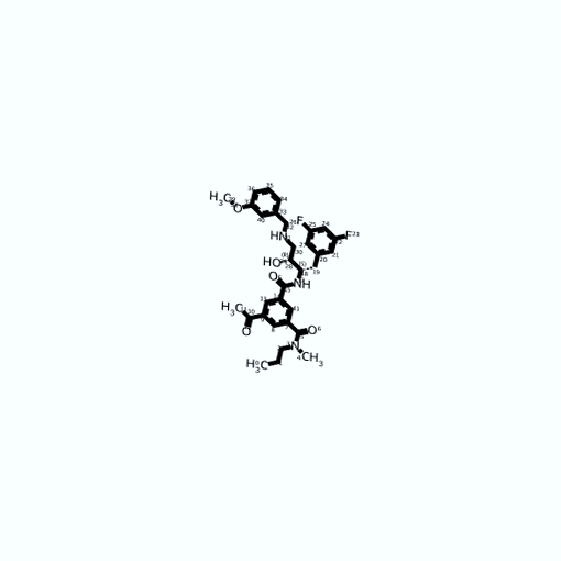 CCCN(C)C(=O)c1cc(C(C)=O)cc(C(=O)N[C@@H](Cc2cc(F)cc(F)c2)[C@H](O)CNCc2cccc(OC)c2)c1